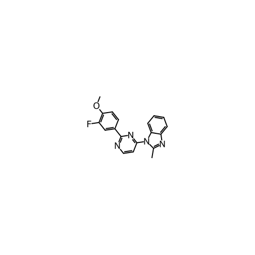 COc1ccc(-c2nccc(-n3c(C)nc4ccccc43)n2)cc1F